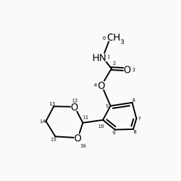 CNC(=O)Oc1ccccc1C1OCCCO1